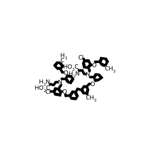 Cc1cccc(COc2ccccc2CN(CC[C@H](N)C(=O)O)Cc2cc(Cl)ccc2OCc2cccc(Cc3cc(C)cc(COc4ccccc4CN(CC[C@H](N)C(=O)O)Cc4ccc(Cl)cc4OCc4cccc(C)c4)c3)c2)c1